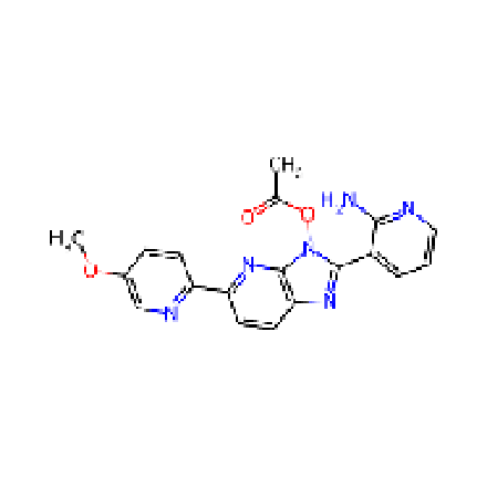 COc1ccc(-c2ccc3nc(-c4cccnc4N)n(OC(C)=O)c3n2)nc1